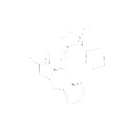 O=C1C=C(Cc2ccccc2)C(=O)N1.O=C1C=CC(=O)N1C1CCCCC1